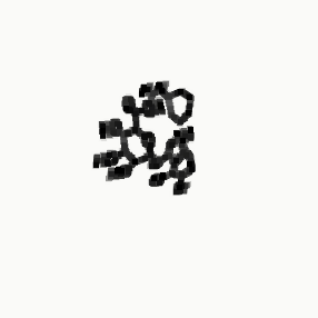 NC1CCCCC1.O=C(O)C1OC(Oc2c[nH]c3ccc(Br)c(Cl)c23)C(O)C(O)C1O